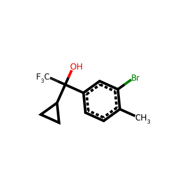 Cc1ccc(C(O)(C2CC2)C(F)(F)F)cc1Br